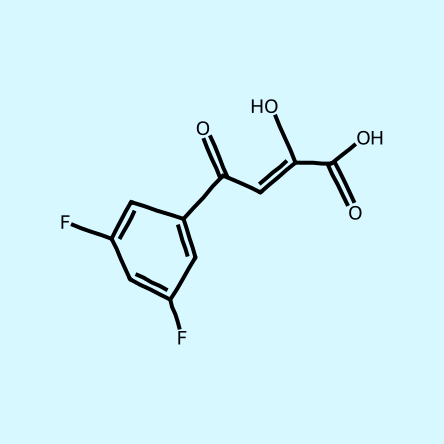 O=C(O)/C(O)=C/C(=O)c1cc(F)cc(F)c1